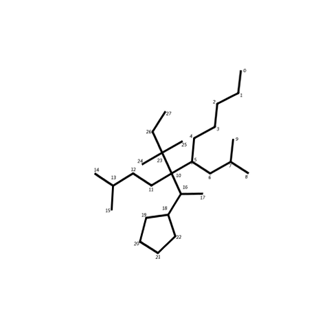 CCCCC[C](CC(C)C)C(CCC(C)C)(C(C)C1CCCC1)C(C)(C)CC